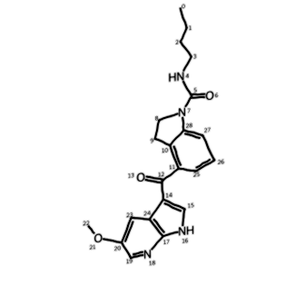 CCCCNC(=O)N1CCc2c(C(=O)c3c[nH]c4ncc(OC)cc34)cccc21